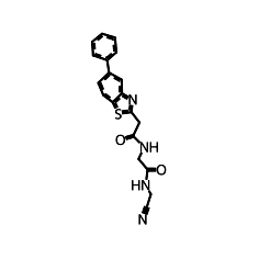 N#CCNC(=O)CNC(=O)Cc1nc2cc(-c3ccccc3)ccc2s1